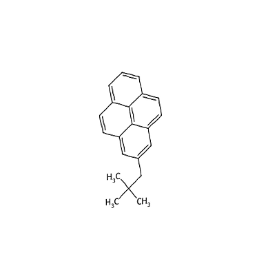 CC(C)(C)Cc1cc2ccc3cccc4ccc(c1)c2c34